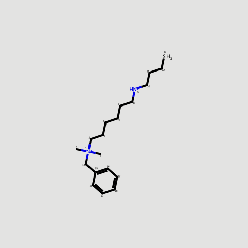 C[N+](C)(CCCCCCNCCC[SiH3])Cc1ccccc1